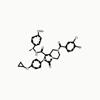 COc1ccc([C@H](C)NC(=O)c2c3n(c(=O)n2-c2ccc(OC4CC4)cc2)CCN(C(=O)c2ccc(Br)c(Cl)c2)C3)cc1